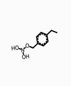 CCc1ccc(CON(O)O)cc1